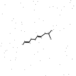 CC=CC[CH]C=CCC(C)C